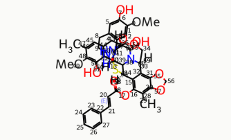 COc1cc2c(cc1O)CCN[C@]21CS[C@@H]2c3c(OC(=O)/C=C/c4ccccc4)c(C)c4c(c3[C@H](COC1=O)N1C2[C@H]2N[C@H](Cc3cc(C)c(OC)c(O)c32)[C@@H]1O)OCO4